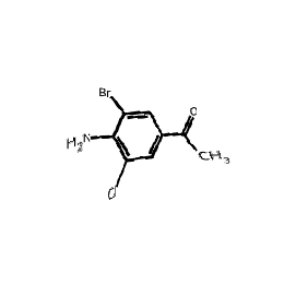 CC(=O)c1cc(Cl)c(N)c(Br)c1